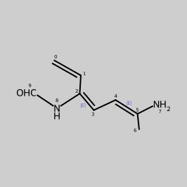 C=C/C(=C\C=C(/C)N)NC=O